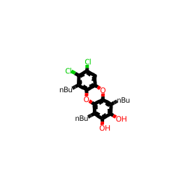 CCCCc1c(Cl)c(Cl)cc2c1Oc1c(CCCC)c(O)c(O)c(CCCC)c1O2